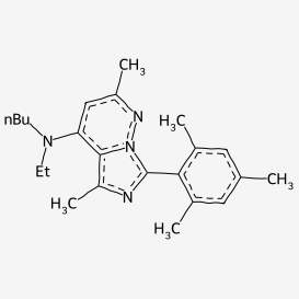 CCCCN(CC)c1cc(C)nn2c(-c3c(C)cc(C)cc3C)nc(C)c12